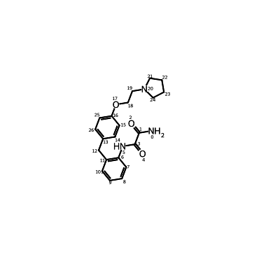 NC(=O)C(=O)Nc1ccc[c]c1Cc1ccc(OCCN2CCCC2)cc1